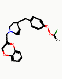 C=C(F)OOc1ccc(CC2CCN(CC3COc4ccccc4O3)CC2)cc1